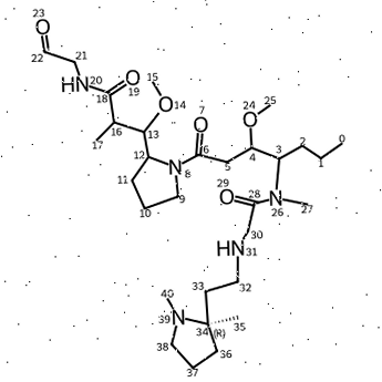 CCCC(C(CC(=O)N1CCCC1C(OC)C(C)C(=O)NCC=O)OC)N(C)C(=O)CNCC[C@@]1(C)CCCN1C